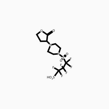 O=C1OCCC1N1CCN(S(=O)(=O)C(F)(F)C(F)(F)C(F)(F)S(=O)(=O)O)CC1